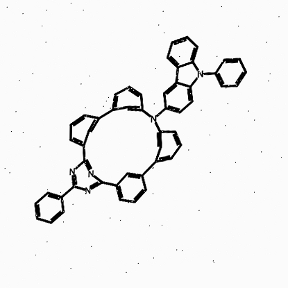 c1ccc(-c2nc3nc(n2)-c2cccc(c2)-c2cccc(c2)N(c2ccc4c(c2)c2ccccc2n4-c2ccccc2)c2cccc(c2)-c2cccc-3c2)cc1